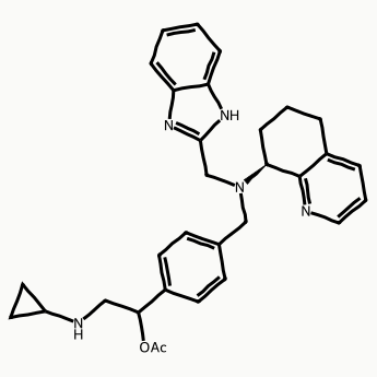 CC(=O)OC(CNC1CC1)c1ccc(CN(Cc2nc3ccccc3[nH]2)[C@H]2CCCc3cccnc32)cc1